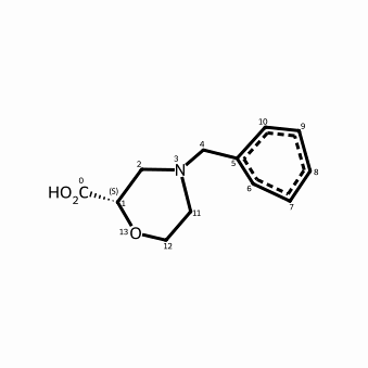 O=C(O)[C@@H]1CN(Cc2ccccc2)CCO1